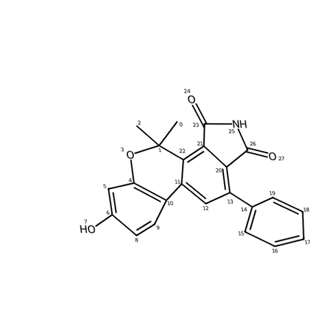 CC1(C)Oc2cc(O)ccc2-c2cc(-c3ccccc3)c3c(c21)C(=O)NC3=O